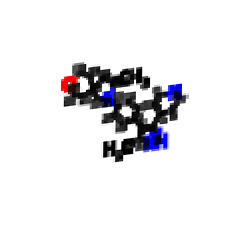 Cc1[nH]nc(-c2ccncc2)c1-c1ccc(N2CC3(CCOCC3)C[C@H]2C)cc1